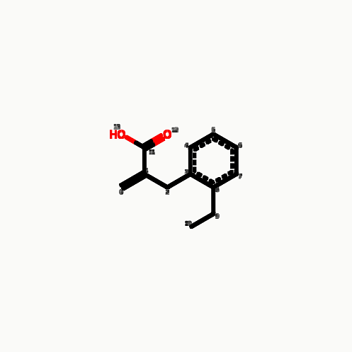 C=C(Cc1ccccc1CC)C(=O)O